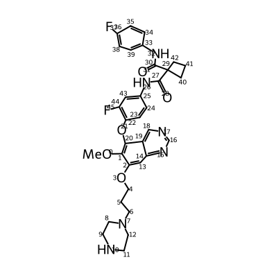 COc1c(OCCCN2CCNCC2)cc2ncncc2c1Oc1ccc(NC(=O)C2(C(=O)Nc3ccc(F)cc3)CCC2)cc1F